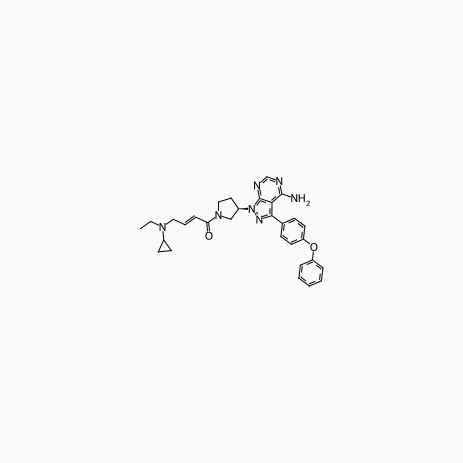 CCN(CC=CC(=O)N1CC[C@@H](n2nc(-c3ccc(Oc4ccccc4)cc3)c3c(N)ncnc32)C1)C1CC1